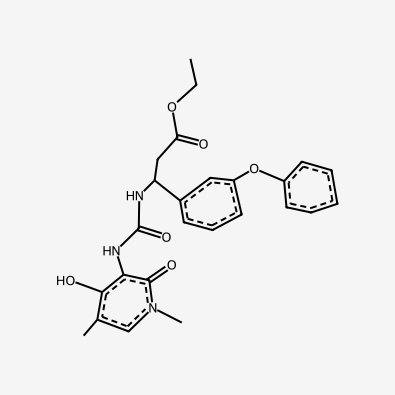 CCOC(=O)CC(NC(=O)Nc1c(O)c(C)cn(C)c1=O)c1cccc(Oc2ccccc2)c1